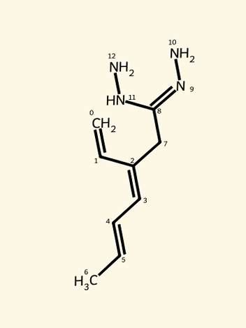 C=C/C(=C\C=C\C)C/C(=N/N)NN